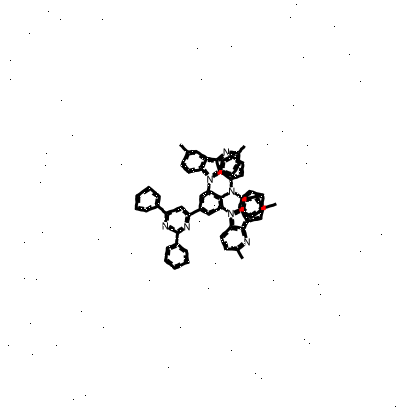 Cc1ccc2c(c1)c1nc(C)ccc1n2-c1cc(-c2cc(-c3ccccc3)nc(-c3ccccc3)n2)cc(-n2c3ccc(C)cc3c3nc(C)ccc32)c1N(c1ccccc1)c1ccccc1